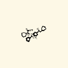 CC(=O)c1ccccc1.CC(C(=O)O)C1CCCCC1.O=C(CC1CCCCC1)c1ccccc1